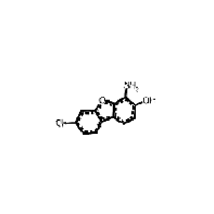 Nc1c(O)ccc2c1oc1cc(Cl)ccc12